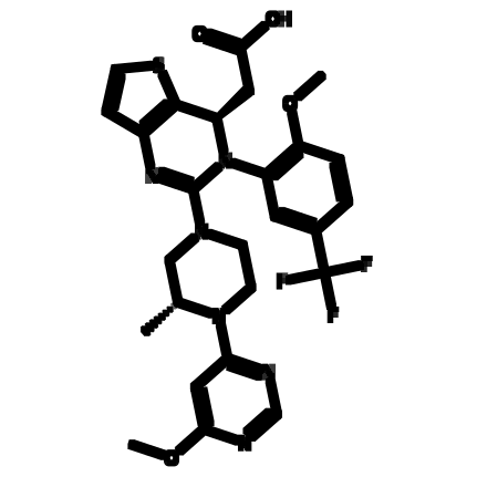 COc1cc(N2CCN(C3=Nc4ccsc4[C@@H](CC(=O)O)N3c3cc(C(F)(F)F)ccc3OC)C[C@H]2C)ncn1